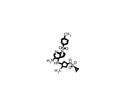 Cc1ccc(S(=O)(=O)n2ccc3c(NC4CC(NS(=O)(=O)C5CC5)CC4C)c(N)cnc32)cc1